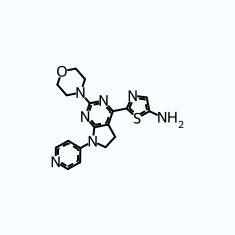 Nc1cnc(-c2nc(N3CCOCC3)nc3c2CCN3c2ccncc2)s1